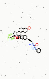 C[C@]12C[C@H](c3ccc(C#CCNC(=O)Nc4ccccc4)cc3)C3=C4CCC(=O)C=C4CCC3C1CC[C@@]2(O)C(F)(F)C(F)(F)F